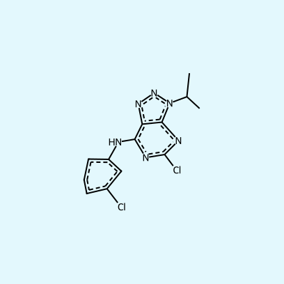 CC(C)n1nnc2c(Nc3cccc(Cl)c3)nc(Cl)nc21